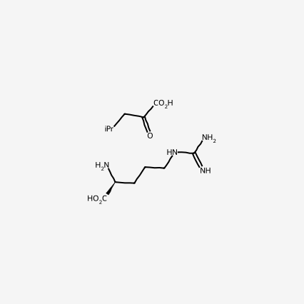 CC(C)CC(=O)C(=O)O.N=C(N)NCCC[C@H](N)C(=O)O